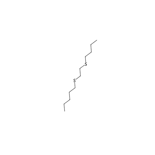 CCCCCSCCSCCCC